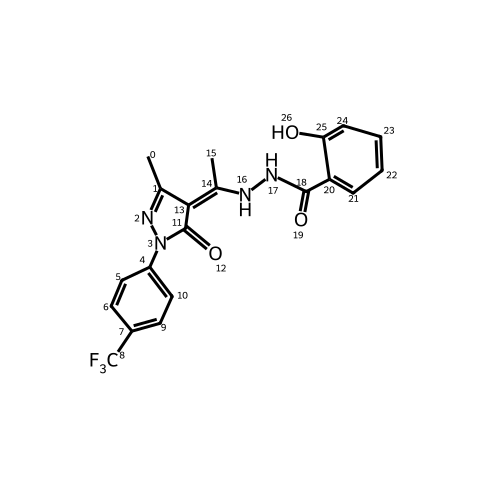 CC1=NN(c2ccc(C(F)(F)F)cc2)C(=O)/C1=C(/C)NNC(=O)c1ccccc1O